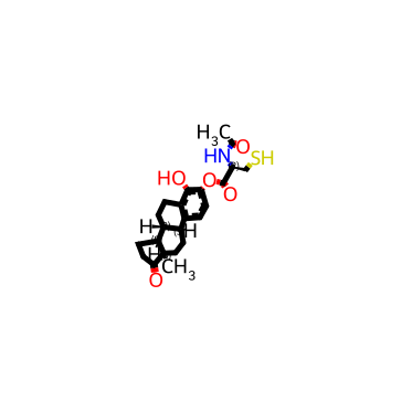 CC(=O)N[C@@H](CS)C(=O)Oc1ccc2c(c1O)CC[C@@H]1[C@@H]2CC[C@]2(C)C(=O)CC[C@@H]12